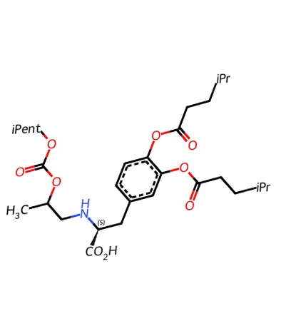 CCCC(C)OC(=O)OC(C)CN[C@@H](Cc1ccc(OC(=O)CCC(C)C)c(OC(=O)CCC(C)C)c1)C(=O)O